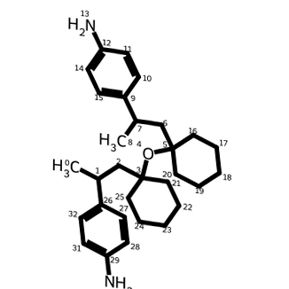 CC(CC1(OC2(CC(C)c3ccc(N)cc3)CCCCC2)CCCCC1)c1ccc(N)cc1